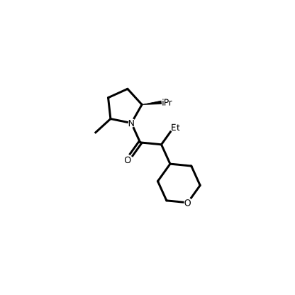 CCC(C(=O)N1C(C)CC[C@H]1C(C)C)C1CCOCC1